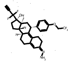 C#CC(F)(F)[C@]1(O)CC[C@H]2[C@@H]3CCC4=CC(=NN)CCC4=C3[C@@H](c3ccc(OCC(F)(F)F)cc3)C[C@@]21C